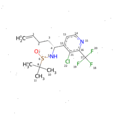 C=CCC[C@@H](N[S+]([O-])C(C)(C)C)c1ccnc(C(F)(F)F)c1Cl